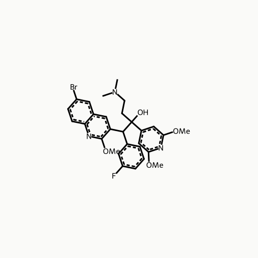 COc1cc(C(O)(CCN(C)C)C(c2cccc(F)c2)c2cc3cc(Br)ccc3nc2OC)cc(OC)n1